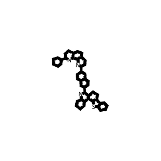 c1ccc(-c2ccc3ccc4ccc(-c5ccc6cc(-c7nc8ccccc8c8c7ccc7c9ccccc9sc78)ccc6c5)nc4c3n2)cc1